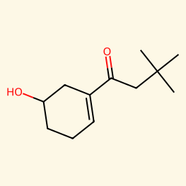 CC(C)(C)CC(=O)C1=CCCC(O)C1